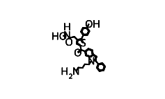 NCCCCn1c(-c2ccccc2)cc2ccc(C(=O)c3cc(CC(=O)NO)c(-c4ccc(O)cc4)s3)cc21